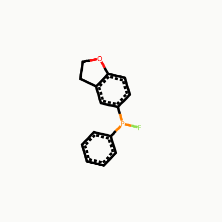 FP(c1ccccc1)c1ccc2c(c1)CCO2